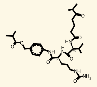 CC(C)C(=O)CCCC(=O)N[C@H](C(=O)N[C@@H](CCCNC(N)=O)C(=O)Nc1ccc(COC(=O)C(C)C)cc1)C(C)C